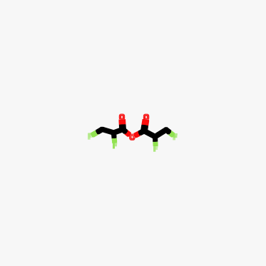 O=C(OC(=O)C(F)CF)C(F)CF